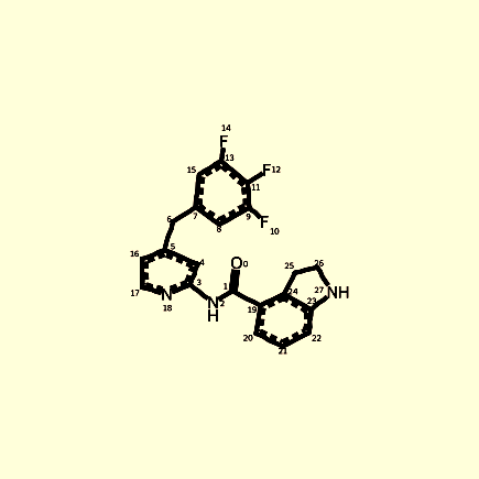 O=C(Nc1cc(Cc2cc(F)c(F)c(F)c2)ccn1)c1cccc2c1CCN2